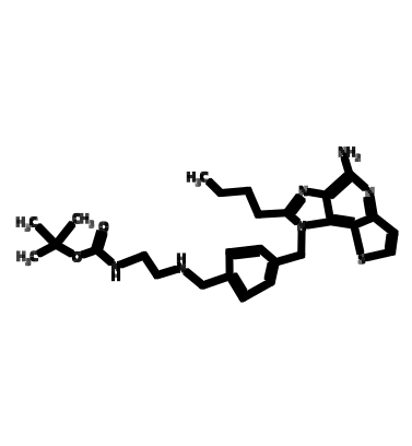 CCCCc1nc2c(N)nc3ccsc3c2n1Cc1ccc(CNCCNC(=O)OC(C)(C)C)cc1